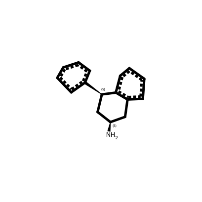 N[C@@H]1Cc2ccccc2[C@H](c2ccccc2)C1